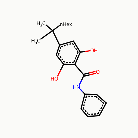 CCCCCCC(C)(C)c1cc(O)c(C(=O)Nc2ccccc2)c(O)c1